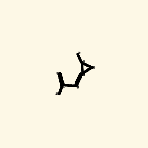 C=C(C)C=C1CC1C